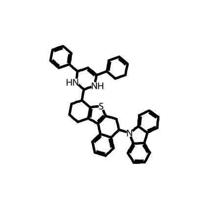 C1=CCCC(C2=CC(c3ccccc3)NC(C3CCCc4c3sc3c4-c4ccccc4C(n4c5ccccc5c5ccccc54)C3)N2)=C1